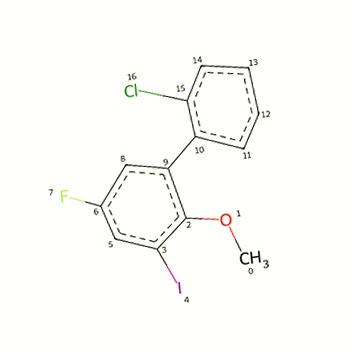 COc1c(I)cc(F)cc1-c1ccccc1Cl